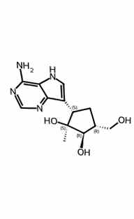 C[C@@]1(O)[C@H](O)[C@@H](CO)C[C@H]1c1c[nH]c2c(N)ncnc12